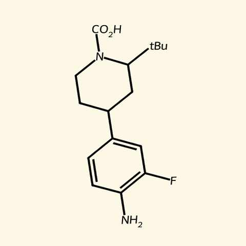 CC(C)(C)C1CC(c2ccc(N)c(F)c2)CCN1C(=O)O